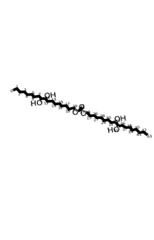 CCCCCCCCC(O)C(O)CCCCCCCCOC(=O)OCCCCCCCCC(O)C(O)CCCCCCCC